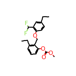 CCc1ccc(OCc2c(CC)cccc2OC(=O)OC)c(C(F)F)c1